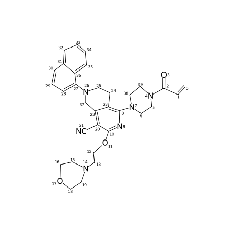 C=CC(=O)N1CCN(c2nc(OCCN3CCOCC3)c(C#N)c3c2CCN(c2cccc4ccccc24)C3)CC1